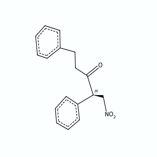 O=C(CCc1ccccc1)[C@@H](C[N+](=O)[O-])c1ccccc1